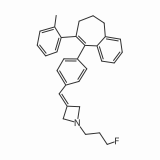 Cc1ccccc1C1=C(c2ccc(C=C3CN(CCCF)C3)cc2)c2ccccc2CCC1